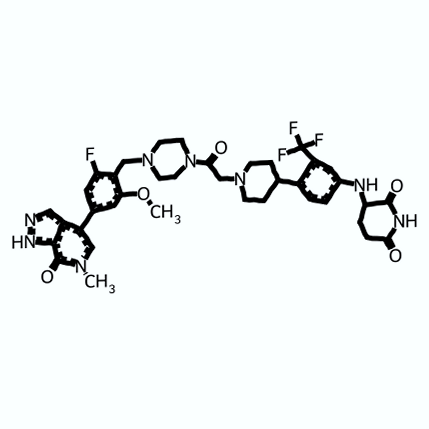 COc1cc(-c2cn(C)c(=O)c3[nH]ncc23)cc(F)c1CN1CCN(C(=O)CN2CCC(c3ccc(NC4CCC(=O)NC4=O)cc3C(F)(F)F)CC2)CC1